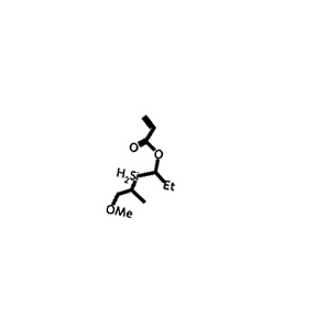 C=CC(=O)OC(CC)[SiH2]C(C)COC